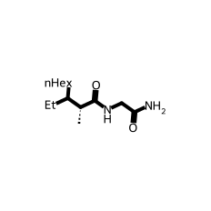 CCCCCCC(CC)[C@@H](C)C(=O)NCC(N)=O